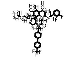 [2H]C1=C(SC([2H])([2H])c2cccc(F)c2F)N(C([2H])([2H])C(=O)N(C2CCN(C([2H])([2H])COC([2H])([2H])[2H])CC2)C([2H])([2H])c2ccc(-c3ccc(C(F)(F)F)cc3)cc2)c2c([2H])c([2H])c(C)c([2H])c2C1O